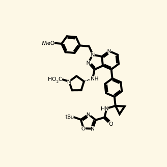 COc1ccc(Cn2nc(N[C@@H]3CCN(C(=O)O)C3)c3c(-c4ccc(C5(NC(=O)c6noc(C(C)(C)C)n6)CC5)cc4)ccnc32)cc1